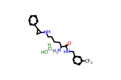 Cl.Cl.NC(CCCCNC1CC1c1ccccc1)C(=O)NCc1cccc(C(F)(F)F)c1